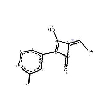 CCC/C=C1\C(=O)C(c2ccnc(C)c2)=C1O